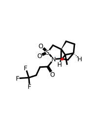 CC1(C)[C@H]2CC[C@@]13CS(=O)(=O)N(C(=O)CCC(F)(F)F)[C@H]3C2